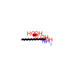 CC(O)C(=O)O.CCCCCCCCCCCCCCC[C@H](O)[C@@H](N)CO